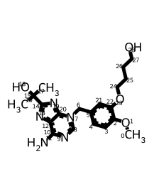 COc1ccc(Cn2cnc(N)c3nc(C(C)(C)O)nc2-3)cc1OCCCCO